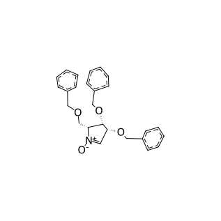 [O-][N+]1=C[C@@H](OCc2ccccc2)[C@@H](OCc2ccccc2)[C@H]1COCc1ccccc1